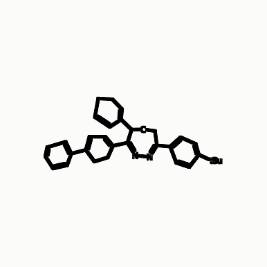 CC(C)(C)c1ccc(C2=NN=C(C3=CC=C(c4ccccc4)CC3)C(C3=CCCC=C3)CC2)cc1